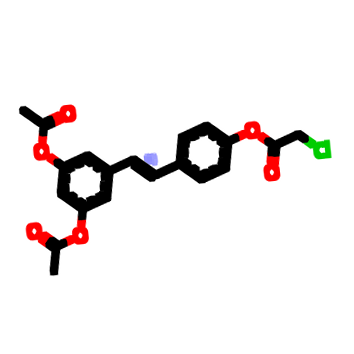 CC(=O)Oc1cc(/C=C/c2ccc(OC(=O)CCl)cc2)cc(OC(C)=O)c1